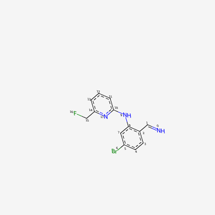 N=Cc1ccc(Br)cc1Nc1cccc(CF)n1